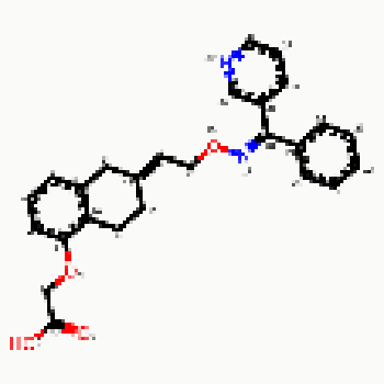 O=C(O)COc1cccc2c1CCC(=CCON=C(c1ccccc1)c1cccnc1)C2